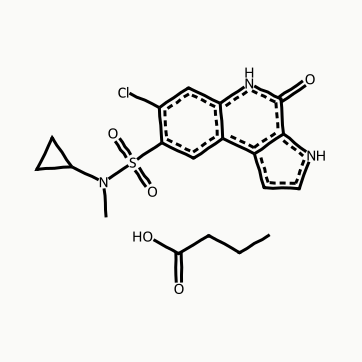 CCCC(=O)O.CN(C1CC1)S(=O)(=O)c1cc2c(cc1Cl)[nH]c(=O)c1[nH]ccc12